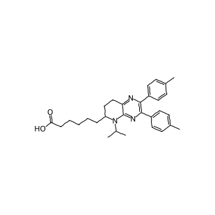 Cc1ccc(-c2nc3c(nc2-c2ccc(C)cc2)N(C(C)C)C(CCCCCC(=O)O)CC3)cc1